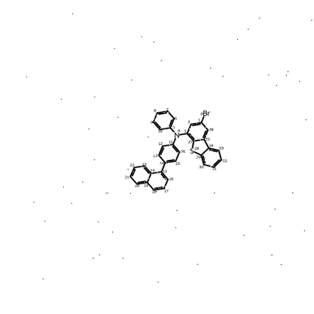 Brc1cc(N(c2ccccc2)c2ccc(-c3cccc4ccccc34)cc2)c2sc3ccccc3c2c1